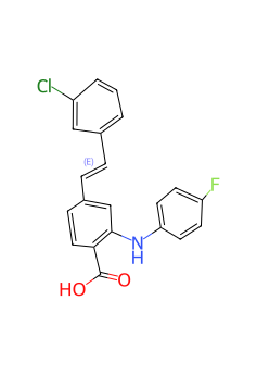 O=C(O)c1ccc(/C=C/c2cccc(Cl)c2)cc1Nc1ccc(F)cc1